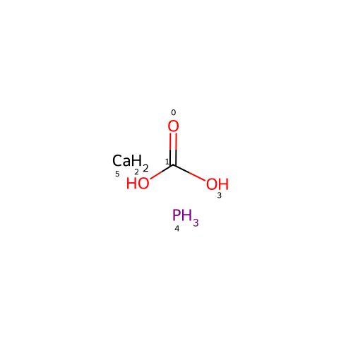 O=C(O)O.P.[CaH2]